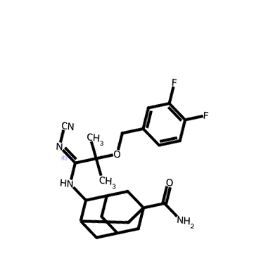 CC(C)(OCc1ccc(F)c(F)c1)/C(=N\C#N)NC1C2CC3CC1CC(C(N)=O)(C3)C2